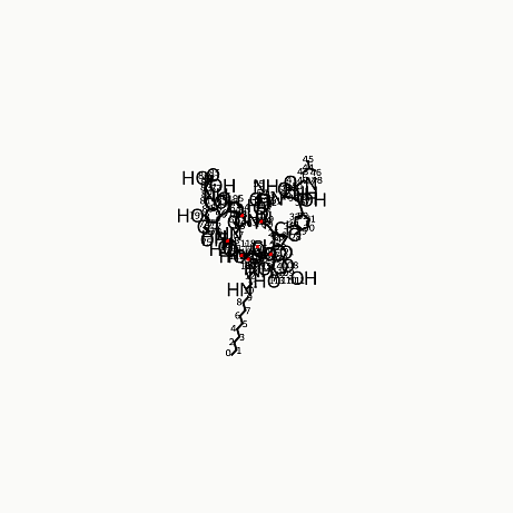 CCCCCCCCCCNCCN[C@@]1(C)CC(OC2C(Oc3c4cc5cc3Oc3ccc(cc3Cl)[C@@H](O)[C@@H](NC(=O)[C@@H](CC(C)C)NC)C(=O)N[C@@H](CC(N)=O)C(=O)N[C@H]5C(=O)N[C@H]3C(=O)N[C@H](C(=O)N[C@H](C(=O)O)c5cc(O)c(CNCP(=O)(O)O)c(O)c5-c5cc3ccc5O)[C@H](O)c3ccc(c(Cl)c3)O4)O[C@H](CO)[C@@H](O)[C@@H]2O)O[C@@H](C)[C@@H]1O